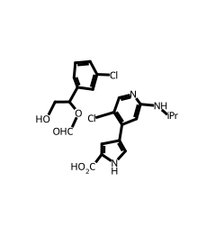 CC(C)Nc1cc(-c2c[nH]c(C(=O)O)c2)c(Cl)cn1.O=COC(CO)c1cccc(Cl)c1